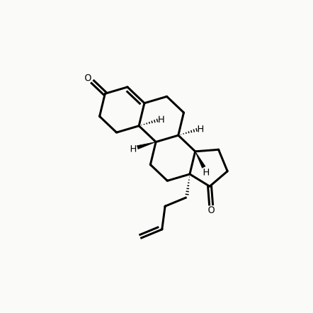 C=CCC[C@]12CC[C@H]3[C@@H](CCC4=CC(=O)CC[C@@H]43)[C@@H]1CCC2=O